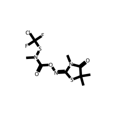 CN(SC(F)(F)Cl)C(=O)ON=C1SC(C)(C)C(=O)N1C